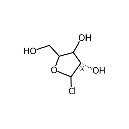 OCC1OC(Cl)[C@@H](O)C1O